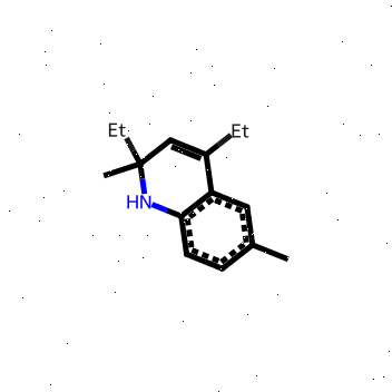 CCC1=CC(C)(CC)Nc2ccc(C)cc21